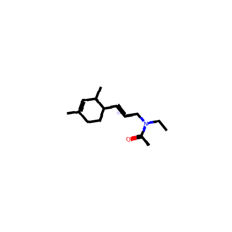 CCN(C/C=C/C1CCC(C)=CC1C)C(C)=O